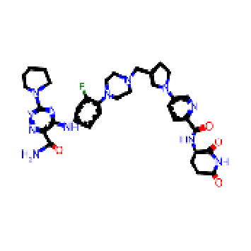 NC(=O)c1nnc(N2CCCCC2)nc1Nc1ccc(N2CCN(CC3CCN(c4ccc(C(=O)NC5CCC(=O)NC5=O)nc4)C3)CC2)c(F)c1